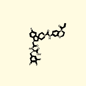 C=CC(=O)N1CCOc2cc(NC(=O)N3CCC4(CC3)C[C@@H](CC(=O)N[C@H](Cc3cc(F)c(F)c(F)c3)C(=O)O)c3ccc(F)cc34)ccc21